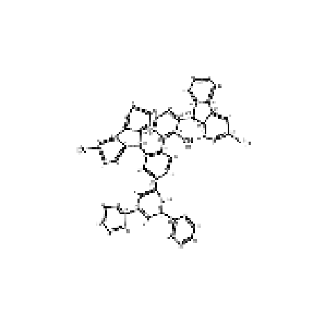 Cc1ccc2c(c1)c1ccccc1n2-c1cc(-c2nc(-c3ccccc3)nc(-c3ccccc3)n2)ccc1-c1cccc(-n2c3ccccc3c3cc(C)ccc32)c1C#N